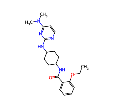 CCOc1ccccc1C(=O)NC1CCC(Nc2nccc(N(C)C)n2)CC1